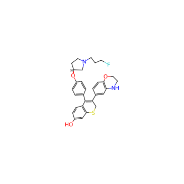 Oc1ccc2c(c1)SCC(c1ccc3c(c1)NCCO3)=C2c1ccc(O[C@H]2CCN(CCCF)C2)cc1